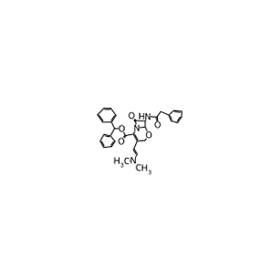 CN(C)/C=C/C1=C(C(=O)OC(c2ccccc2)c2ccccc2)N2C(=O)C(NC(=O)Cc3ccccc3)C2OC1